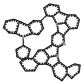 c1ccc(-n2c3ccccc3c3cc(-c4cccc5c6cccc7c8nc9c(cc8n(c45)c67)c4cc5ccccc5c5c6ccc7ccccc7c6n9c45)ccc32)cc1